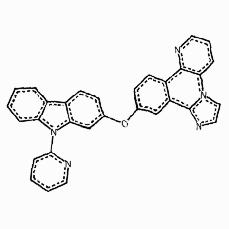 c1ccc(-n2c3ccccc3c3ccc(Oc4ccc5c(c4)c4nccn4c4cccnc54)cc32)nc1